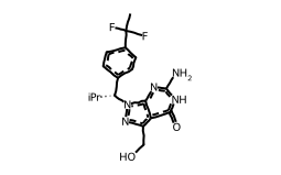 CC(C)[C@H](c1ccc(C(C)(F)F)cc1)n1nc(CO)c2c(=O)[nH]c(N)nc21